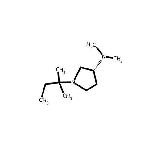 CCC(C)(C)N1CC[C@@H](N(C)C)C1